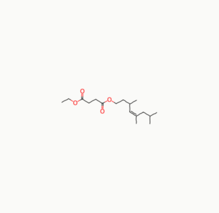 CCOC(=O)CCC(=O)OCCC(C)C=C(C)CC(C)C